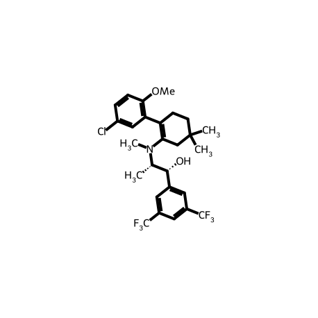 COc1ccc(Cl)cc1C1=C(N(C)[C@@H](C)[C@H](O)c2cc(C(F)(F)F)cc(C(F)(F)F)c2)CC(C)(C)CC1